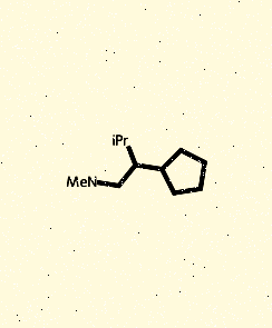 CNCC(C(C)C)C1CCCC1